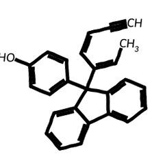 C#C/C=C\C(=C/C)C1(c2ccc(O)cc2)c2ccccc2-c2ccccc21